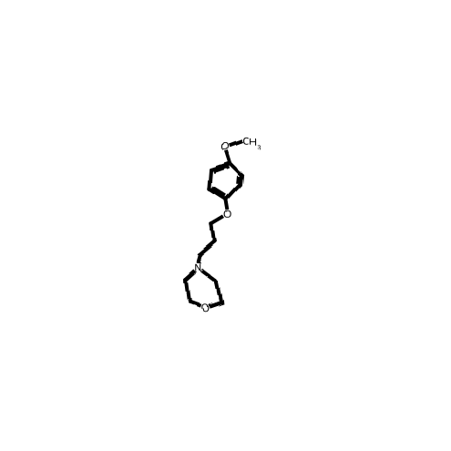 COc1ccc(OCCCN2CCOCC2)cc1